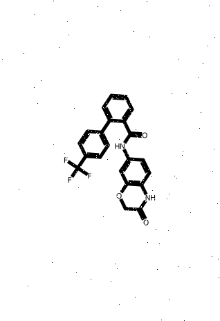 O=C1COc2cc(NC(=O)c3ccccc3-c3ccc(C(F)(F)F)cc3)ccc2N1